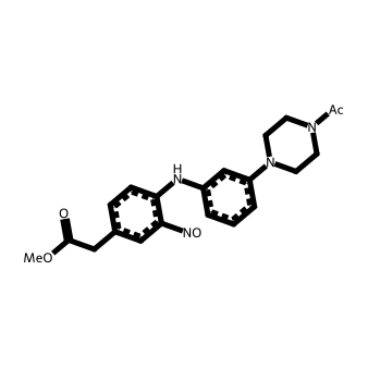 COC(=O)Cc1ccc(Nc2cccc(N3CCN(C(C)=O)CC3)c2)c(N=O)c1